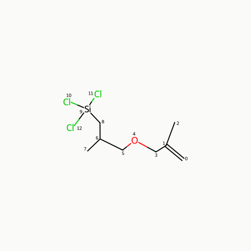 C=C(C)COCC(C)C[Si](Cl)(Cl)Cl